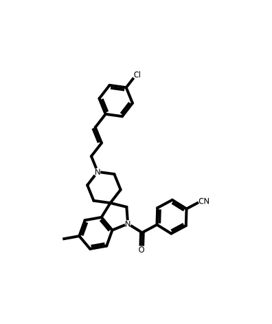 Cc1ccc2c(c1)C1(CCN(CC=Cc3ccc(Cl)cc3)CC1)CN2C(=O)c1ccc(C#N)cc1